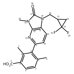 Cc1ccc(C(=O)O)c(C)c1-c1ccc2c(n1)n(C)c(=O)n2CC1CC1(F)F